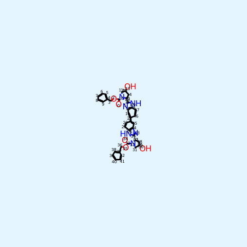 O=C(OCc1ccccc1)N1C[C@H](O)C[C@H]1c1nc2cc(-c3ccc4[nH]c([C@@H]5C[C@@H](O)CN5C(=O)OCc5ccccc5)nc4c3)ccc2[nH]1